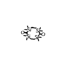 C[Si]1(C)CC[Si](C)(C)C(=O)[Si](C)(C)CC[Si](C)(C)C1=O